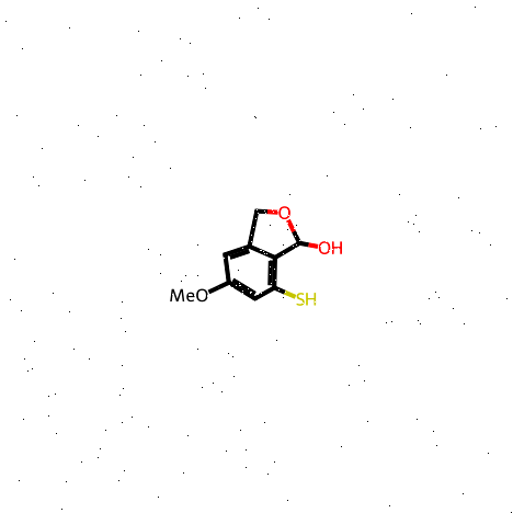 COc1cc(S)c2c(c1)COC2O